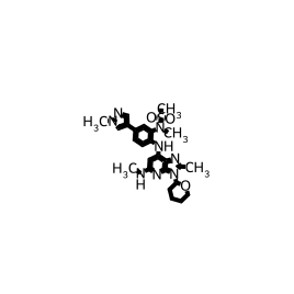 CNc1cc(Nc2ccc(-c3cnn(C)c3)cc2N(C)S(C)(=O)=O)c2nc(C)n(C3CCCCO3)c2n1